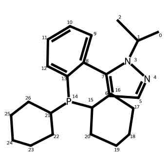 CC(C)n1nccc1-c1ccccc1P(C1CCCCC1)C1CCCCC1